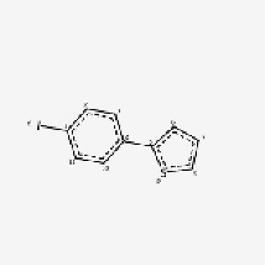 Ic1ccc(-c2[c]ccs2)cc1